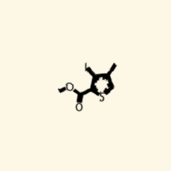 COC(=O)c1scc(C)c1I